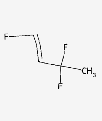 CC(F)(F)/C=C/F